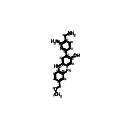 COCc1ccc(Nc2ccc(O)c(-c3ccc(CN)c(N)n3)c2)c(F)c1